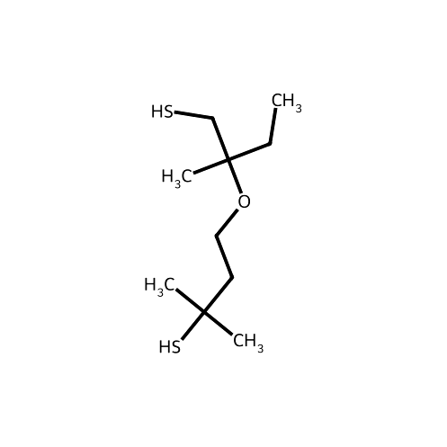 CCC(C)(CS)OCCC(C)(C)S